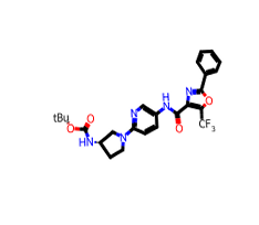 CC(C)(C)OC(=O)N[C@H]1CCN(c2ccc(NC(=O)c3nc(-c4ccccc4)oc3C(F)(F)F)cn2)C1